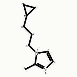 Cc1n[c]cn1CCCC1CC1